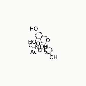 CC(=O)C(=O)N(C)OC1(O)c2c(O)cc(O)cc2COC1c1ccc(O)cc1